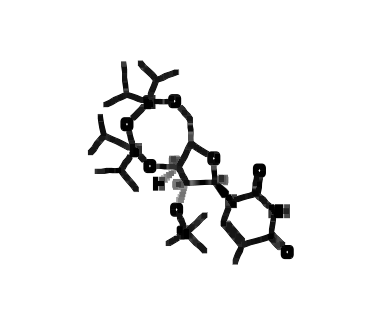 Cc1cn([C@@H]2OC3CO[Si](C(C)C)(C(C)C)O[Si](C(C)C)(C(C)C)O[C@@H]3[C@H]2O[Si](C)(C)C)c(=O)[nH]c1=O